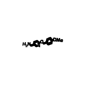 COc1ccc(COc2ccc(CN)cn2)cc1